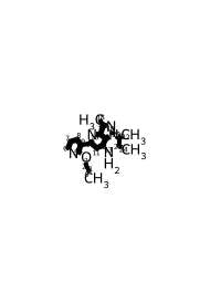 CCCOc1ncccc1-c1cc(N)c2c(n1)c(C)nn2C(C)CC